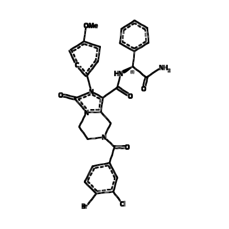 COc1ccc(-n2c(C(=O)N[C@H](C(N)=O)c3ccccc3)c3n(c2=O)CCN(C(=O)c2ccc(Br)c(Cl)c2)C3)cc1